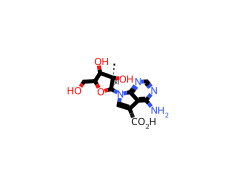 C[C@@]1(O)C(O)C(CO)OC1n1cc(C(=O)O)c2c(N)ncnc21